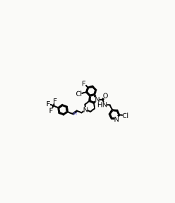 O=C(NCc1ccnc(Cl)c1)n1c2c(c3c(Cl)c(F)ccc31)CN(C/C=C/c1ccc(C(F)(F)F)cc1)CC2